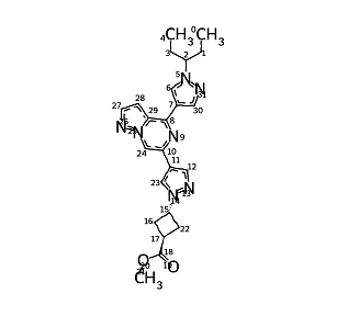 CCC(CC)n1cc(-c2nc(-c3cnn([C@H]4C[C@H](C(=O)OC)C4)c3)cn3nccc23)cn1